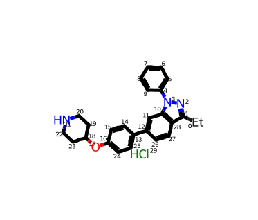 CCc1nn(-c2ccccc2)c2cc(-c3ccc(OC4CCNCC4)cc3)ccc12.Cl